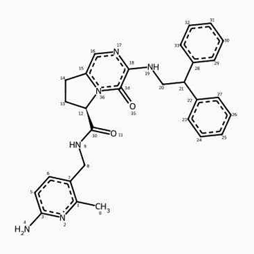 Cc1nc(N)ccc1CNC(=O)[C@H]1CCc2cnc(NCC(c3ccccc3)c3ccccc3)c(=O)n21